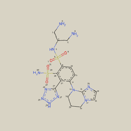 NCC(CN)NS(=O)(=O)c1ccc(N2CCCn3ccnc32)c(-c2nn[nH]n2)c1S(N)(=O)=O